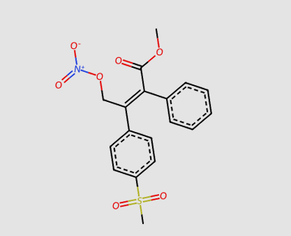 COC(=O)/C(=C(\CO[N+](=O)[O-])c1ccc(S(C)(=O)=O)cc1)c1ccccc1